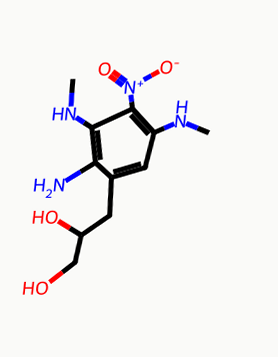 CNc1cc(CC(O)CO)c(N)c(NC)c1[N+](=O)[O-]